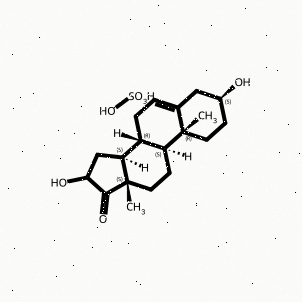 C[C@]12CC[C@H](O)CC1=CC[C@@H]1[C@@H]2CC[C@]2(C)C(=O)C(O)C[C@@H]12.O=S(=O)(O)O